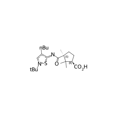 CCCCc1cn(C(C)(C)C)sc1=NC(=O)[C@@]1(C)CC[C@@H](C(=O)O)C1(C)C